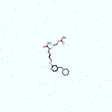 CC(C)(C)C(=O)OCCSC(CC=CCOc1cc(CN2CCCCC2)ccn1)C(N)=O